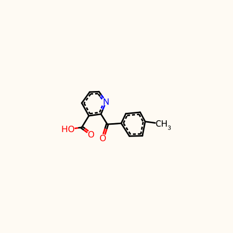 Cc1ccc(C(=O)c2ncccc2C(=O)O)cc1